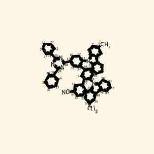 Cc1ccc2c(c1)c1ccccc1n2-c1ccc(-c2nc(-c3ccccc3)nc(-c3ccccc3)n2)cc1-c1ccc(-n2c3ccccc3c3cc(C)ccc32)c(-c2cccc(C#N)c2)c1